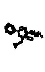 NO[C@@H]1CO[C@@H](c2ccccc2)CN(CC2CC2)C1=O